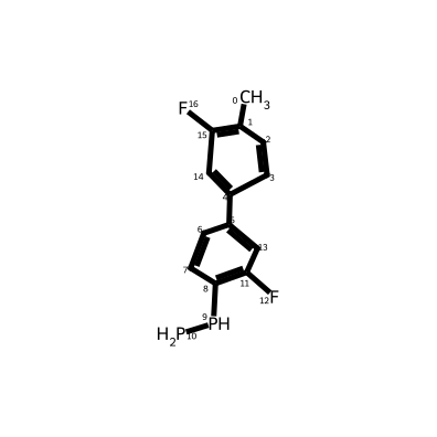 Cc1ccc(-c2ccc(PP)c(F)c2)cc1F